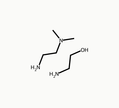 CN(C)CCN.NCCO